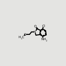 COCCN1Cc2c(N)ccc(Cl)c2C1=O